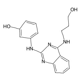 OCCCNc1nc(Nc2cccc(O)c2)nc2ccccc12